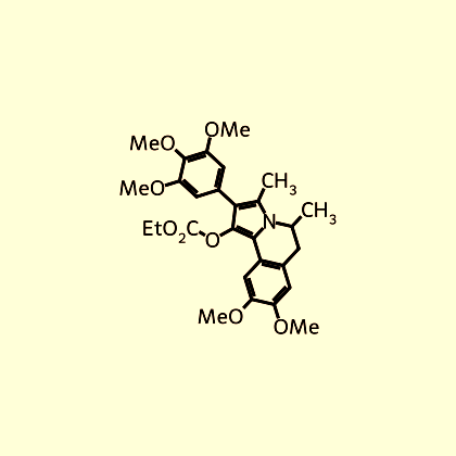 CCOC(=O)Oc1c(-c2cc(OC)c(OC)c(OC)c2)c(C)n2c1-c1cc(OC)c(OC)cc1CC2C